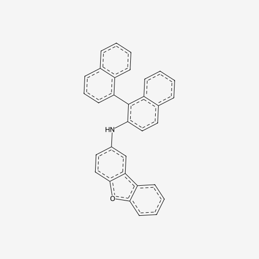 c1ccc2c(-c3c(Nc4ccc5oc6ccccc6c5c4)ccc4ccccc34)cccc2c1